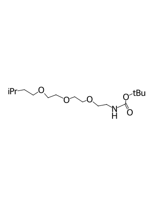 CC(C)CCOCCOCCOCCNC(=O)OC(C)(C)C